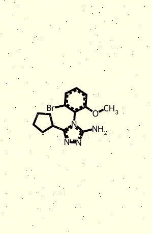 COc1cccc(Br)c1-n1c(N)nnc1C1CCCC1